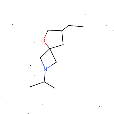 CCC1COC2(C1)CN(C(C)C)C2